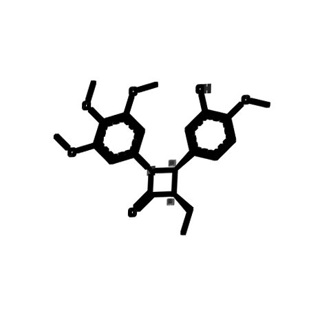 CC[C@H]1C(=O)N(c2cc(OC)c(OC)c(OC)c2)[C@H]1c1ccc(OC)c(O)c1